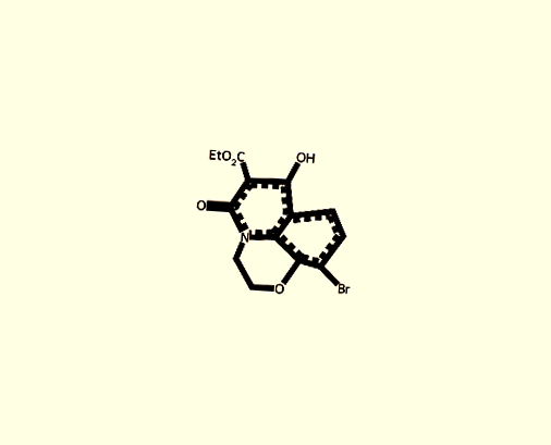 CCOC(=O)c1c(O)c2ccc(Br)c3c2n(c1=O)CCO3